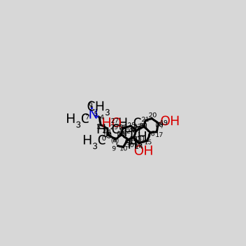 C[C@H](CCCN(C)C)[C@H]1CC[C@H]2[C@@H]3[C@H](O)CC4C[C@H](O)CC[C@]4(C)[C@H]3C[C@H](O)[C@]12C